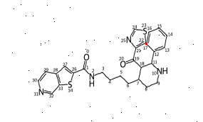 O=C(NCCCCC1CCNC(c2ccccc2)C1C(=O)c1cscn1)c1cc2ccncc2s1